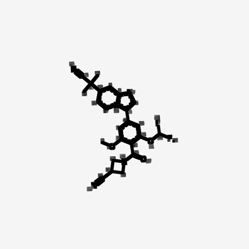 COc1cc(-c2cnc3cc(C(C)(C)C#N)ccn23)cc(OC(F)F)c1C(=O)N1CC(C#N)C1